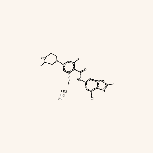 Cc1cn2cc(NC(=O)c3c(F)cc(N4CCNC(C)C4)cc3F)cc(Cl)c2n1.Cl.Cl.Cl